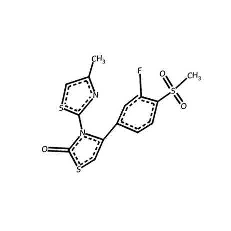 Cc1csc(-n2c(-c3ccc(S(C)(=O)=O)c(F)c3)csc2=O)n1